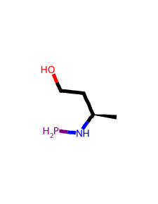 C[C@H](CCO)NP